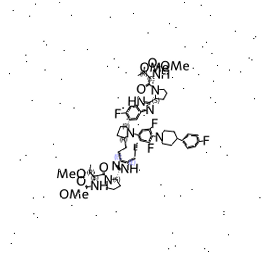 C#C/C=c1/[nH]c([C@@H]2CCCN2C(=O)[C@@H](NC(=O)OC)[C@@H](C)OC)n/c1=C/C[C@H]1CC[C@H](c2cc3nc([C@@H]4CCCN4C(=O)[C@@H](NC(=O)OC)[C@@H](C)OC)[nH]c3cc2F)N1c1cc(F)c(N2CCC(c3ccc(F)cc3)CC2)c(F)c1